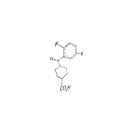 O=C(O)C1CCC(C(=O)c2cc(F)ccc2F)CC1